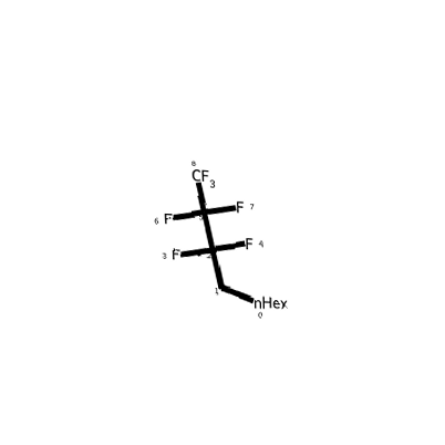 CCCCCCCC(F)(F)C(F)(F)C(F)(F)F